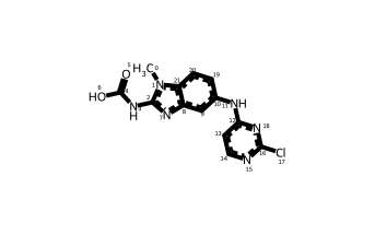 Cn1c(NC(=O)O)nc2cc(Nc3ccnc(Cl)n3)ccc21